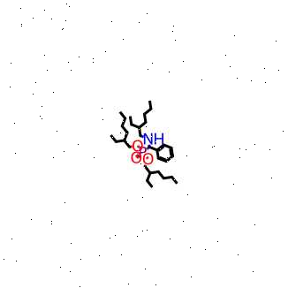 CCCCC(CC)CNC(c1ccccc1)P(=O)(OCC(CC)CCCC)OCC(CC)CCCC